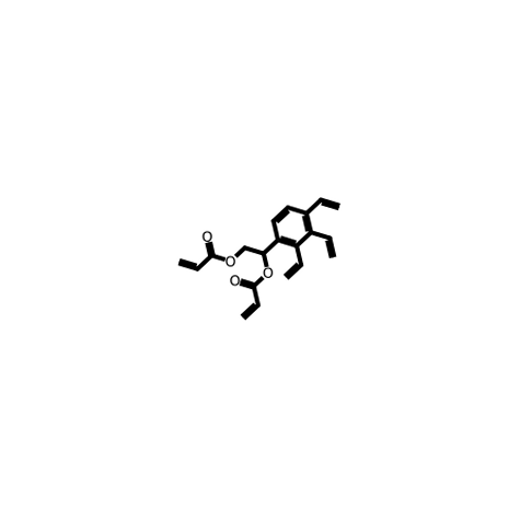 C=CC(=O)OCC(OC(=O)C=C)c1ccc(C=C)c(C=C)c1C=C